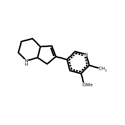 COc1cc(C2=CC3CCCNC3C2)cnc1C